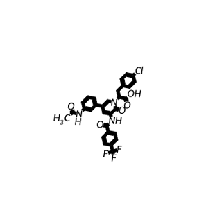 CC(=O)Nc1cccc(-c2cc(NC(=O)c3ccc(C(F)(F)F)cc3)c(=O)n(C(Cc3ccc(Cl)cc3)C(=O)O)c2)c1